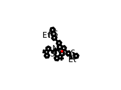 CCN1c2ccccc2Sc2cc(-c3ccc4c5ccc(-c6ccc7c(c6)Sc6ccccc6N7CC)cc5c5nc6c(-c7cccc8c7-c7ccccc7C8(C)C)sc(-c7cccc8c7-c7ccccc7C8(C)C)c6nc5c4c3)ccc21